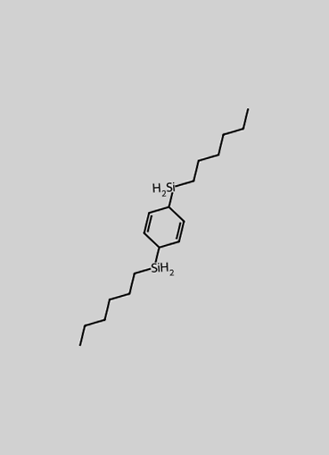 CCCCCC[SiH2]C1C=CC([SiH2]CCCCCC)C=C1